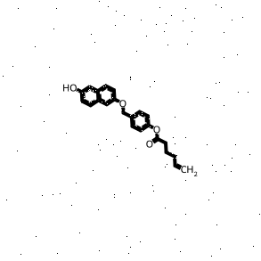 C=CCCCC(=O)Oc1ccc(COc2ccc3cc(O)ccc3c2)cc1